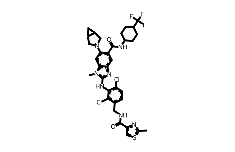 Cc1nc(C(=O)NCc2ccc(Cl)c(Nc3nc4cc(C(=O)NC5CCC(C(F)(F)F)CC5)c(N5CC6CC6C5)cc4n3C)c2Cl)cs1